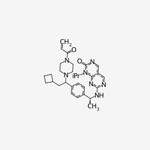 C=CC(=O)N1CCN(C(CC2CCC2)c2ccc([C@H](C)Nc3ncc4cnc(=O)n(C(C)C)c4n3)cc2)CC1